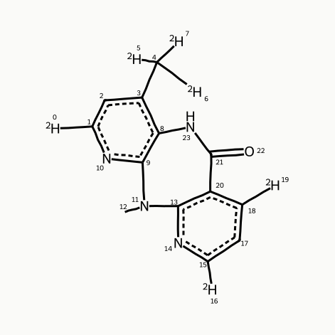 [2H]c1cc(C([2H])([2H])[2H])c2c(n1)N(C)c1nc([2H])cc([2H])c1C(=O)N2